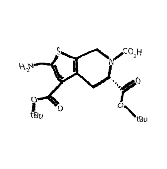 CC(C)(C)OC(=O)c1c(N)sc2c1C[C@@H](C(=O)OC(C)(C)C)N(C(=O)O)C2